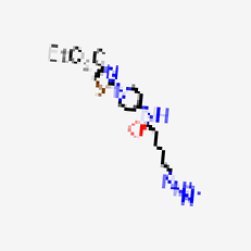 CCOC(=O)c1csc(N2CCC(NC(=O)CCCCCN=[N+]=[N-])CC2)n1